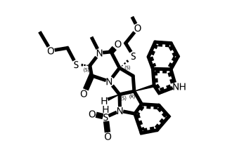 COCS[C@H]1C(=O)N2[C@H]3N([SH](=O)=O)c4ccccc4[C@@]3(c3c[nH]c4ccccc34)C[C@]2(SCOC)C(=O)N1C